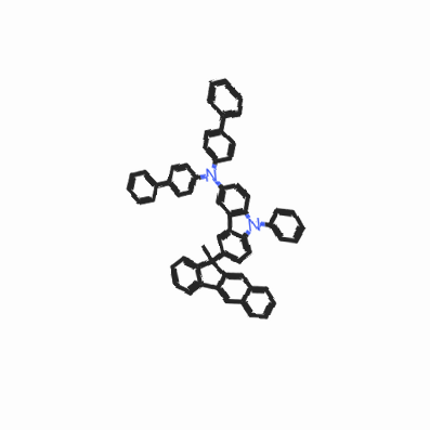 CC1(c2ccc3c(c2)c2cc(N(c4ccc(-c5ccccc5)cc4)c4ccc(-c5ccccc5)cc4)ccc2n3-c2ccccc2)c2ccccc2-c2cc3ccccc3cc21